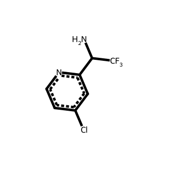 NC(c1cc(Cl)ccn1)C(F)(F)F